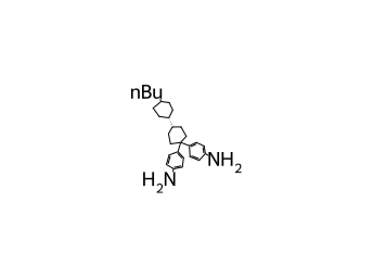 CCCC[C@H]1CC[C@H](C2CCC(c3ccc(N)cc3)(c3ccc(N)cc3)CC2)CC1